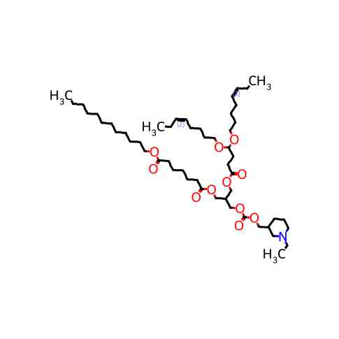 CC/C=C\CCCCOC(CCC(=O)OCC(COC(=O)CCCCCC(=O)OCCCCCCCCCCCC)COC(=O)OCC1CCCN(CC)C1)OCCCC/C=C\CC